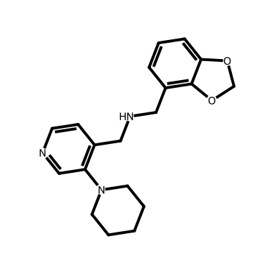 c1cc(CNCc2ccncc2N2CCCCC2)c2c(c1)OCO2